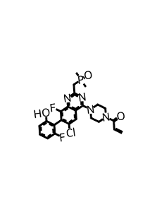 C=CC(=O)N1CCN(c2nc(CP(C)(C)=O)nc3c(F)c(-c4c(O)cccc4F)c(Cl)cc23)CC1